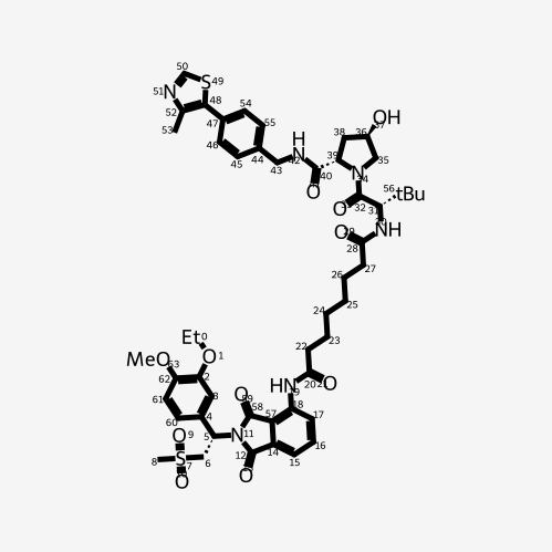 CCOc1cc([C@@H](CS(C)(=O)=O)N2C(=O)c3cccc(NC(=O)CCCCCCC(=O)N[C@H](C(=O)N4C[C@H](O)C[C@H]4C(=O)NCc4ccc(-c5scnc5C)cc4)C(C)(C)C)c3C2=O)ccc1OC